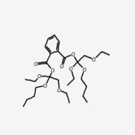 CCCCOC(COCC)(OCC)OC(=O)c1ccccc1C(=O)OC(COCC)(OCC)OCCCC